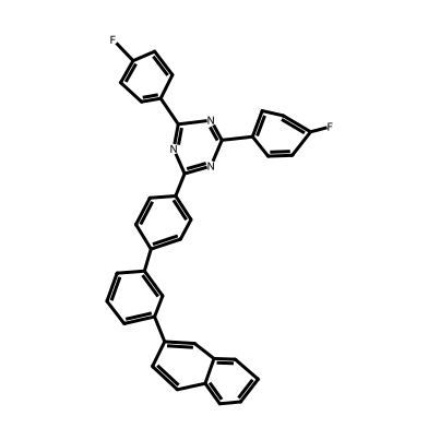 Fc1ccc(-c2nc(-c3ccc(F)cc3)nc(-c3ccc(-c4cccc(-c5ccc6ccccc6c5)c4)cc3)n2)cc1